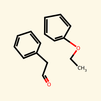 CCOc1ccccc1.O=CCc1ccccc1